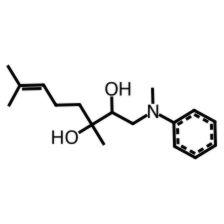 CC(C)=CCCC(C)(O)C(O)CN(C)c1ccccc1